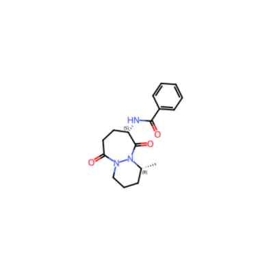 C[C@@H]1CCCN2C(=O)CC[C@H](NC(=O)c3ccccc3)C(=O)N12